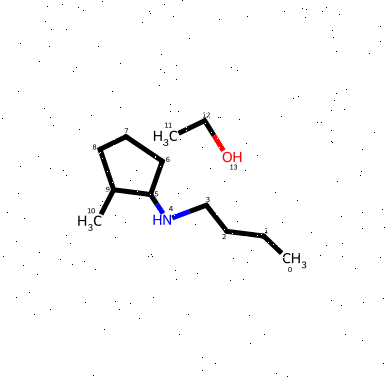 CCCCNC1CCCC1C.CCO